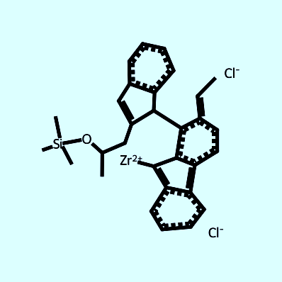 CC=c1ccc2c(c1C1C(CC(C)O[Si](C)(C)C)=Cc3ccccc31)[C]([Zr+2])=c1ccccc1=2.[Cl-].[Cl-]